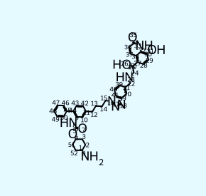 N[C@H]1CC[C@H](OC(=O)Nc2cc(CCCCn3nnc4cc(CNC[C@H](O)c5ccc(O)c6[nH]c(=O)ccc56)ccc43)ccc2-c2ccccc2)CC1